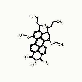 C=C(CCC)c1cc(OCC)c2c3ccc4c5c(ccc(c6c(OCC)cc(C(=C)CCC)c1c26)c53)C(=C)N(C)C4=C